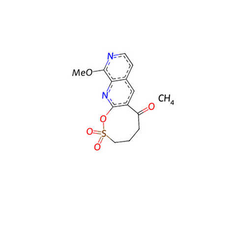 C.COc1nccc2cc3c(nc12)OS(=O)(=O)CCCC3=O